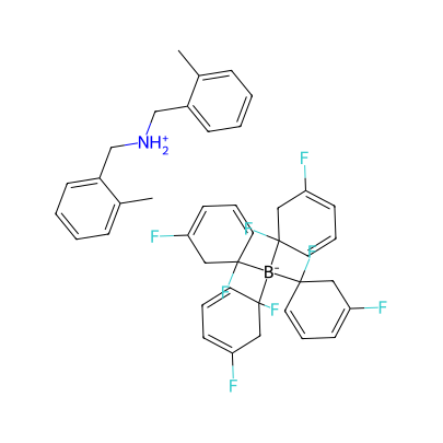 Cc1ccccc1C[NH2+]Cc1ccccc1C.FC1=CC=CC(F)([B-](C2(F)C=CC=C(F)C2)(C2(F)C=CC=C(F)C2)C2(F)C=CC=C(F)C2)C1